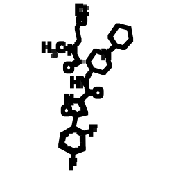 CCOCCN(C)C(=O)[C@@H]1CN(C2CCCCC2)CC[C@H]1NC(=O)c1cc(-c2ccc(F)cc2F)on1